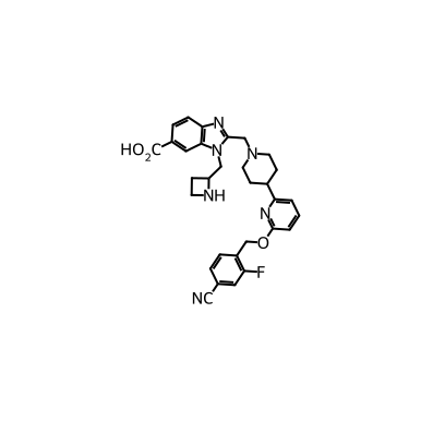 N#Cc1ccc(COc2cccc(C3CCN(Cc4nc5ccc(C(=O)O)cc5n4CC4CCN4)CC3)n2)c(F)c1